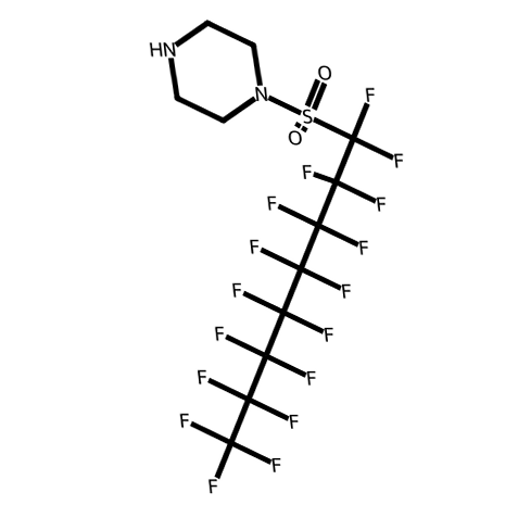 O=S(=O)(N1CCNCC1)C(F)(F)C(F)(F)C(F)(F)C(F)(F)C(F)(F)C(F)(F)C(F)(F)C(F)(F)F